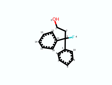 OCCC(F)(c1ccccc1)c1ccccc1